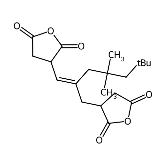 CC(C)(C)CC(C)(C)C/C(=C\C1CC(=O)OC1=O)CC1CC(=O)OC1=O